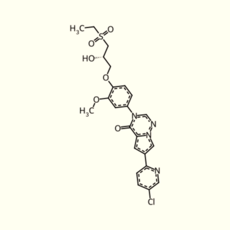 CCS(=O)(=O)C[C@@H](O)COc1ccc(-n2cnn3cc(-c4ccc(Cl)cn4)cc3c2=O)cc1OC